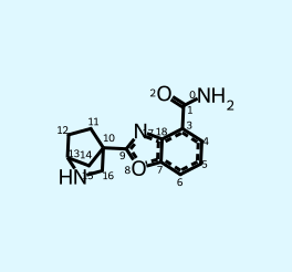 NC(=O)c1cccc2oc(C34CCC(C3)NC4)nc12